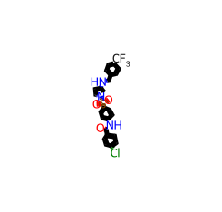 O=C(Nc1ccc(S(=O)(=O)N2CCC(NCc3ccc(C(F)(F)F)cc3)C2)cc1)c1ccc(Cl)cc1